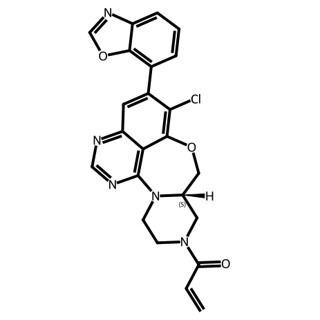 C=CC(=O)N1CCN2c3ncnc4cc(-c5cccc6ncoc56)c(Cl)c(c34)OC[C@@H]2C1